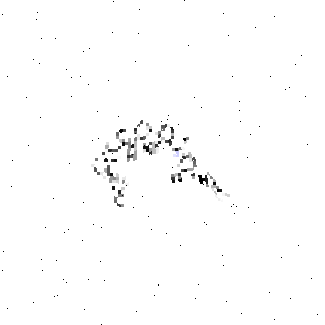 COc1cc(/C(F)=C/c2cccc(-c3cccc(NC(=O)c4cc5n(n4)CCC[C@@H]5N4CC[C@@H](O)C4)c3Cl)c2Cl)ncc1CN1CC[C@@H](O)C1